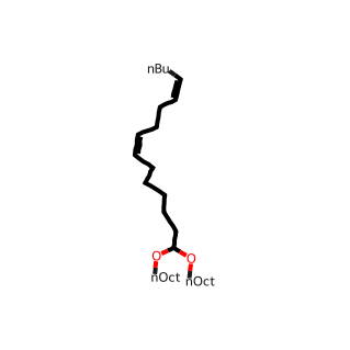 CCCC/C=C\CC/C=C\CCCCCC(OCCCCCCCC)OCCCCCCCC